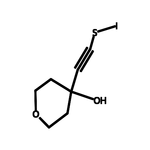 OC1(C#CSI)CCOCC1